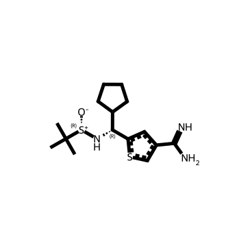 CC(C)(C)[S@+]([O-])N[C@@H](c1cc(C(=N)N)cs1)C1CCCC1